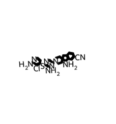 N#Cc1ccc2c(c1)C(N)C1(CCN(c3cnc(Sc4ccnc(N)c4Cl)c(N)n3)CC1)C2